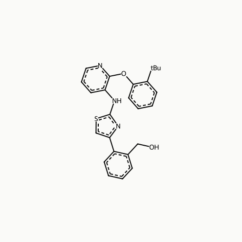 CC(C)(C)c1ccccc1Oc1ncccc1Nc1nc(-c2ccccc2CO)cs1